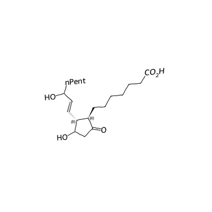 CCCCCC(O)C=C[C@H]1C(O)CC(=O)[C@@H]1CCCCCCC(=O)O